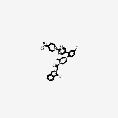 CC1CN(c2ccc(F)cc2-c2cnc(N3CCC([S+](C)[O-])CC3)nc2)CCN1C(=O)CN1Cc2ccccc2C1=O